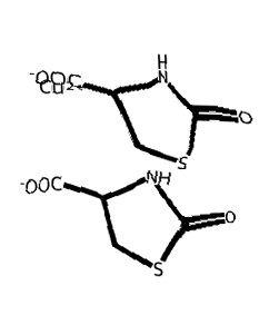 O=C1NC(C(=O)[O-])CS1.O=C1NC(C(=O)[O-])CS1.[Cu+2]